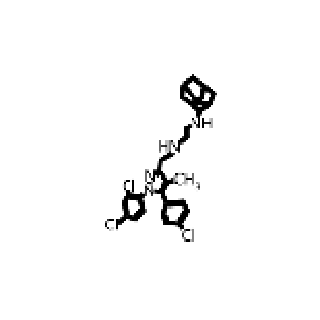 Cc1c(CCNCCNC2C3CC4CC(C3)CC2C4)nn(-c2ccc(Cl)cc2Cl)c1-c1ccc(Cl)cc1